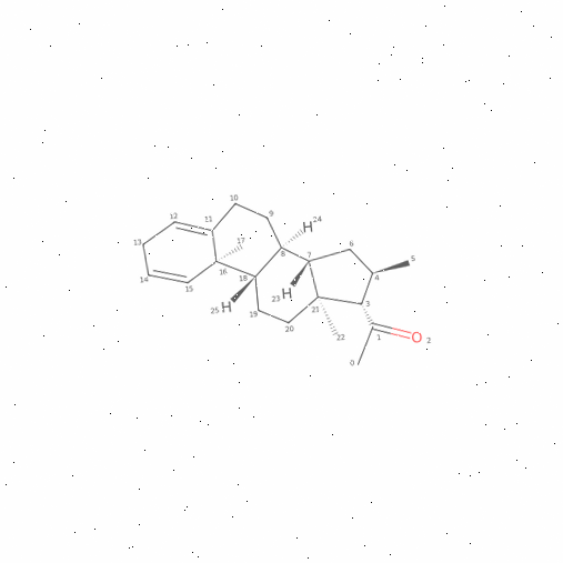 CC(=O)[C@H]1[C@H](C)C[C@H]2[C@@H]3CCC4=CCC=C[C@]4(C)[C@H]3CC[C@@]21C